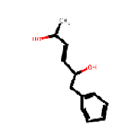 CC(O)C=CC(O)Cc1ccccc1